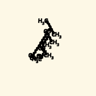 CCCCCCC(CCCC)COC(=O)C(CCCCCCCC(CCCCCCCCC(=O)O)OC(=O)OCCN(CC)CCN(CC)CC)CC(CCCC)CCCCCC